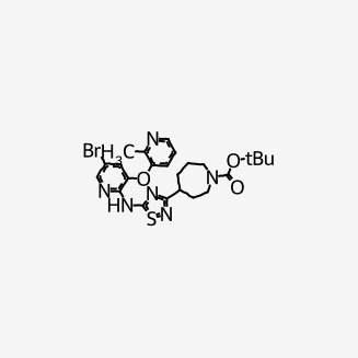 Cc1ncccc1Oc1cc(Br)cnc1Nc1nc(C2CCCN(C(=O)OC(C)(C)C)CC2)ns1